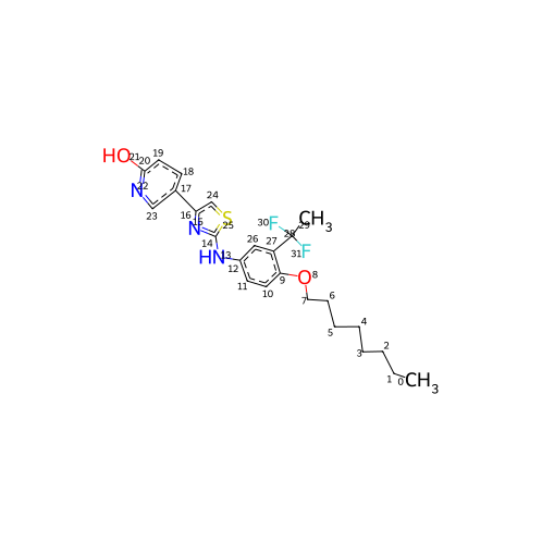 CCCCCCCCOc1ccc(Nc2nc(-c3ccc(O)nc3)cs2)cc1C(C)(F)F